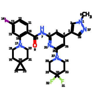 Cn1cc(-c2cc(NC(=O)c3ccc(I)cc3N3CCC4(CC3)CC4)nc(N3CCC(F)(F)CC3)c2)cn1